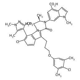 Cc1cc(OCCCc2c3n(c4c(-c5c(C)nn(C)c5C)c(Cl)ccc24)[C@H](C)[C@@H](C)N(c2cc(C(=O)O)c4ccn(C)c4c2)C3=O)cc(C)c1Cl